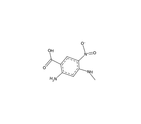 CNc1cc(N)c(C(=O)O)cc1[N+](=O)[O-]